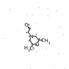 CC1CN(C[C]=O)CC(C)O1